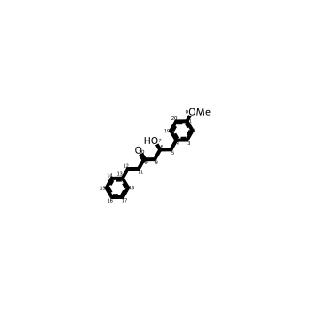 COc1ccc(CC(O)CC(=O)CCc2ccccc2)cc1